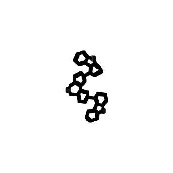 c1ccc2c(c1)oc1cccc(-c3ccc4c(c3)-c3cc(-c5cccc6oc7ccccc7c56)ccc3COC4)c12